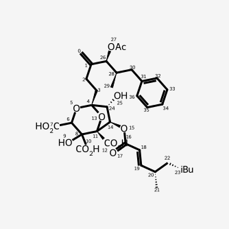 C=C(CC[C@]12OC(C(=O)O)C(O)(C(=O)O)[C@](C(=O)O)(O1)[C@H](OC(=O)/C=C/[C@@H](C)C[C@@H](C)CC)[C@H]2O)[C@@H](OC(C)=O)[C@H](C)Cc1ccccc1